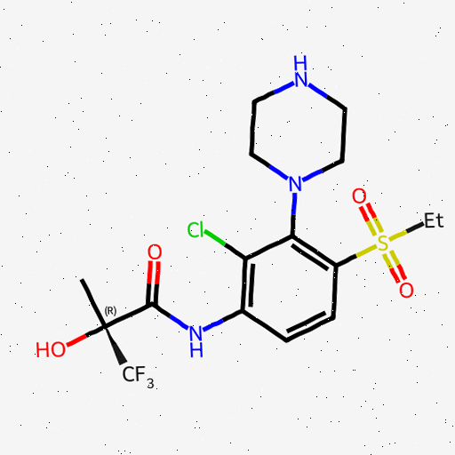 CCS(=O)(=O)c1ccc(NC(=O)[C@@](C)(O)C(F)(F)F)c(Cl)c1N1CCNCC1